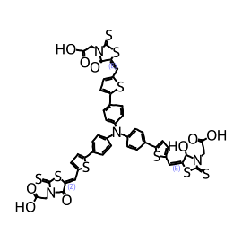 O=C(O)CN1C(=O)/C(=C/c2ccc(-c3ccc(N(c4ccc(-c5ccc(/C=C6/SC(=S)N(CC(=O)O)C6=O)s5)cc4)c4ccc(-c5ccc(/C=C6/SC(=S)N(CC(=O)O)C6O)s5)cc4)cc3)s2)SC1=S